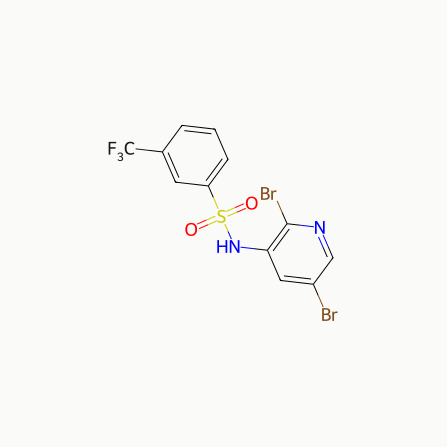 O=S(=O)(Nc1cc(Br)cnc1Br)c1cccc(C(F)(F)F)c1